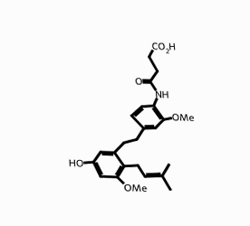 COc1cc(CCc2cc(O)cc(OC)c2CC=C(C)C)ccc1NC(=O)CCC(=O)O